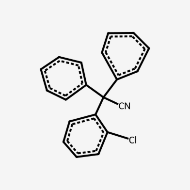 N#CC(c1ccccc1)(c1ccccc1)c1ccccc1Cl